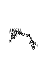 CC(C)(O)c1cc2nn([C@H]3CC[C@H](C4CCN(CC5CN(c6cc(F)c([C@H]7CCC(=O)NC7=O)c(F)c6)C5)CC4)CC3)cc2cc1NC(=O)c1ccc2cc(C#N)cnn12